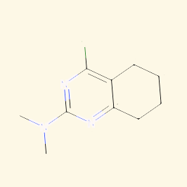 CN(C)c1nc(Cl)c2c(n1)CCCC2